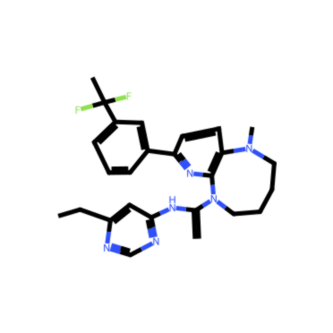 C=C(Nc1cc(CC)ncn1)N1CCCCN(C)c2ccc(-c3cccc(C(C)(F)F)c3)nc21